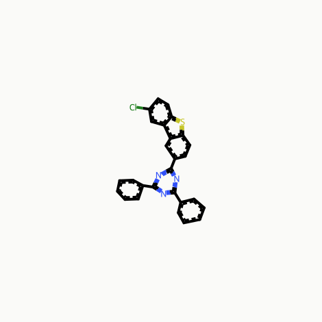 Clc1ccc2sc3ccc(-c4nc(-c5ccccc5)nc(-c5ccccc5)n4)cc3c2c1